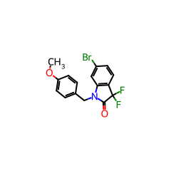 COc1ccc(CN2C(=O)C(F)(F)c3ccc(Br)cc32)cc1